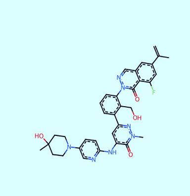 C=C(C)c1cc(F)c2c(=O)n(-c3cccc(-c4cc(Nc5ccc(N6CCC(C)(O)CC6)cn5)c(=O)n(C)n4)c3CO)ncc2c1